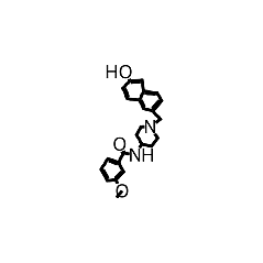 COc1cccc(C(=O)NC2CCN(Cc3ccc4cc(O)ccc4c3)CC2)c1